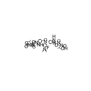 CCN(CC)c1ccc(N2[C@@H](c3ccc4nc([C@@H]5CCCN5C(=O)[C@@H](NC(=O)OC)C(C)C)[nH]c4c3)CC[C@@H]2c2ccc3nc([C@@H]4CCCN4C(=O)[C@H](C(C)C)N(C)C(=O)O)[nH]c3c2)cc1F